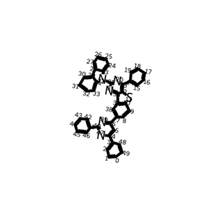 c1ccc(-c2cc(-c3ccc4sc5c(-c6ccccc6)nc(-n6c7ccccc7c7ccccc76)nc5c4c3)nc(-c3ccccc3)n2)cc1